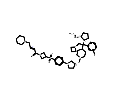 O=C(O)N[C@H]1CCC[C@@H]1C(CN1CCC1)(c1cccc(F)c1)C1CCN(C[C@@H]2CCN(c3ccc(S(=O)(=O)C4CN(C(=O)/C=C/CN5CCCCC5)C4)cc3)C2)CC1